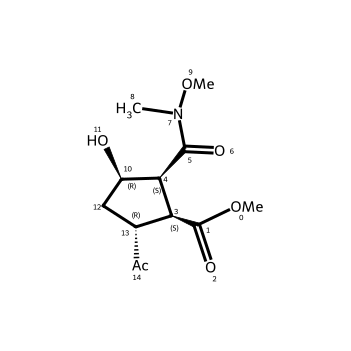 COC(=O)[C@@H]1[C@H](C(=O)N(C)OC)[C@H](O)C[C@H]1C(C)=O